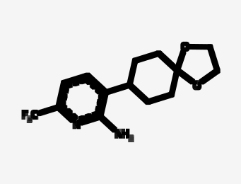 Nc1nc(C(F)(F)F)ccc1C1CCC2(CC1)OCCO2